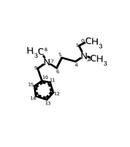 CCN(C)CCCN(C)Cc1ccccc1